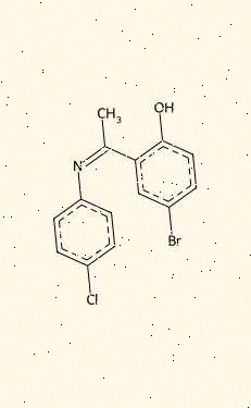 CC(=Nc1ccc(Cl)cc1)c1cc(Br)ccc1O